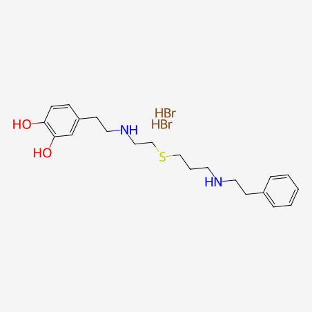 Br.Br.Oc1ccc(CCNCCSCCCNCCc2ccccc2)cc1O